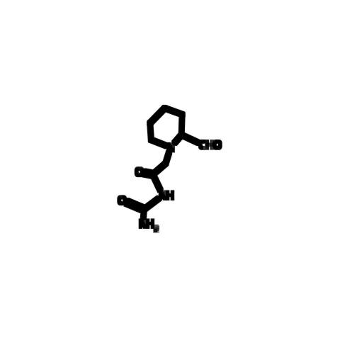 NC(=O)NC(=O)CN1CCCCC1C=O